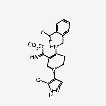 CCOC(=O)C(=N)C1=C(NCc2ccccc2C(F)F)CCN(c2cn[nH]c2Cl)C1